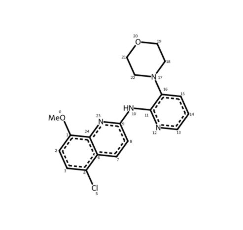 COc1ccc(Cl)c2ccc(Nc3ncccc3N3CCOCC3)nc12